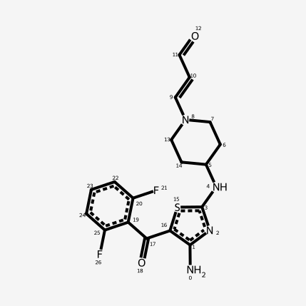 Nc1nc(NC2CCN(C=CC=O)CC2)sc1C(=O)c1c(F)cccc1F